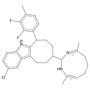 C/C1=C/CCC/C(C)=N\C(C2CCc3c([nH]c4ccc(Cl)cc34)C(c3ccc(C)c(F)c3F)CC2)N1